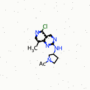 CC(=O)N1CC[C@H](Nc2ncc3c(Cl)ncc(C)c3n2)C1